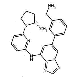 C[C@H]1CCCN1c1cccc(Nc2cc(-c3cccc(CN)c3)cn3ncnc23)n1